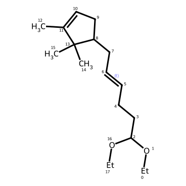 CCOC(CC/C=C/CC1CC=C(C)C1(C)C)OCC